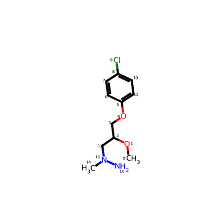 COC(COc1ccc(Cl)cc1)CN(C)N